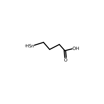 O=C(O)CC[CH2][SnH]